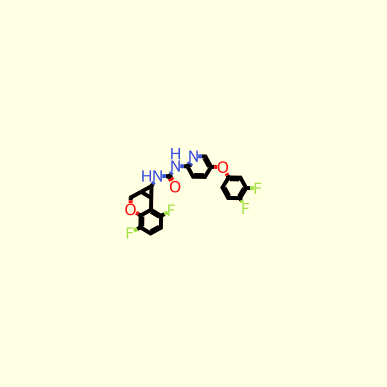 O=C(Nc1ccc(Oc2ccc(F)c(F)c2)cn1)NC1C2COc3c(F)ccc(F)c3C21